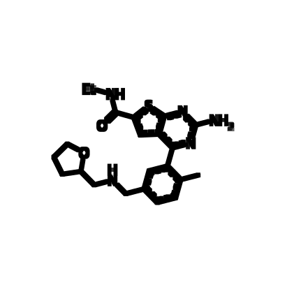 CCNC(=O)c1cc2c(-c3cc(CNCC4CCCO4)ccc3C)nc(N)nc2s1